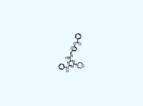 O=C(Oc1ccc(C=NNc2nc(Nc3ccccc3)nc(N3CCOCC3)n2)o1)c1ccccc1